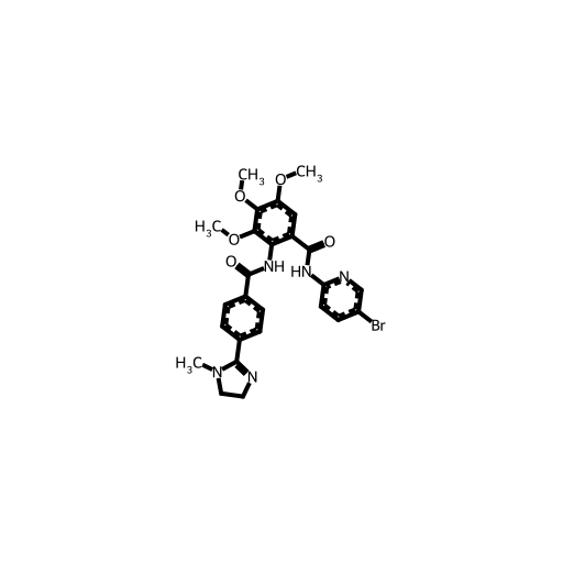 COc1cc(C(=O)Nc2ccc(Br)cn2)c(NC(=O)c2ccc(C3=NCCN3C)cc2)c(OC)c1OC